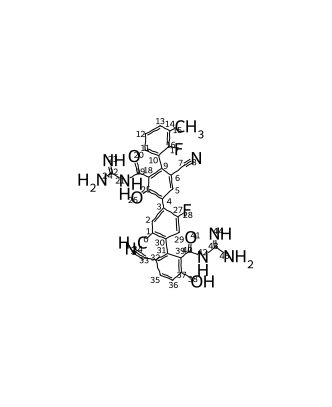 Cc1cc(-c2cc(C#N)c(-c3cccc(C)c3F)c(C(=O)NC(=N)N)c2O)c(F)cc1-c1c(C#N)ccc(O)c1C(=O)NC(=N)N